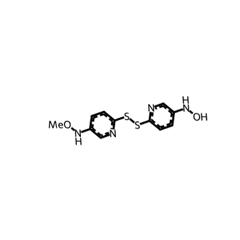 CONc1ccc(SSc2ccc(NO)cn2)nc1